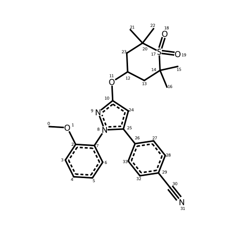 COc1ccccc1-n1nc(OC2CC(C)(C)S(=O)(=O)C(C)(C)C2)cc1-c1ccc(C#N)cc1